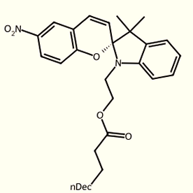 CCCCCCCCCCCCC(=O)OCCN1c2ccccc2C(C)(C)[C@]12C=Cc1cc([N+](=O)[O-])ccc1O2